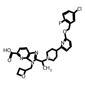 CC(c1nc2ccc(C(=O)O)nc2n1CC1CCO1)N1CCC(c2cccc(OCc3cc(Cl)ccc3F)n2)CC1